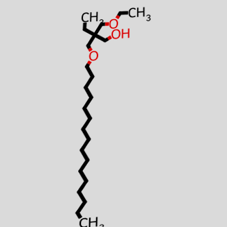 CCCCCCCCCCCCCCCCOCC(CC)(CO)COCC